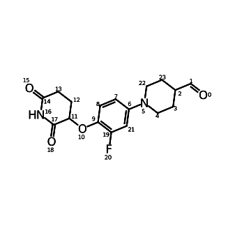 O=CC1CCN(c2ccc(OC3CCC(=O)NC3=O)c(F)c2)CC1